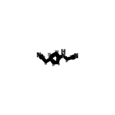 N#CCNc1ccc(CC#N)cc1